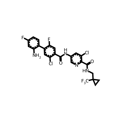 Nc1cc(F)ccc1-c1cc(Cl)c(C(=O)Nc2cnc(C(=O)NCC3(C(F)(F)F)CC3)c(Cl)c2)cc1F